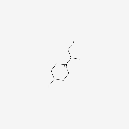 CC(CF)N1CCC(I)CC1